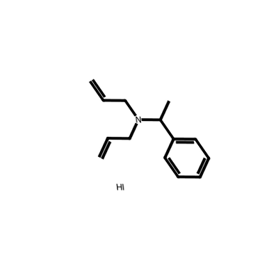 C=CCN(CC=C)C(C)c1ccccc1.I